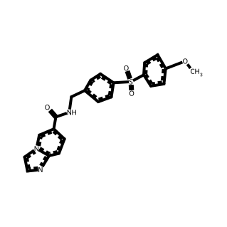 COc1ccc(S(=O)(=O)c2ccc(CNC(=O)c3ccc4nccn4c3)cc2)cc1